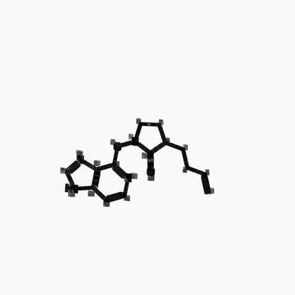 C=CCCC1CCN(Oc2nccc3[nH]cnc23)C1=O